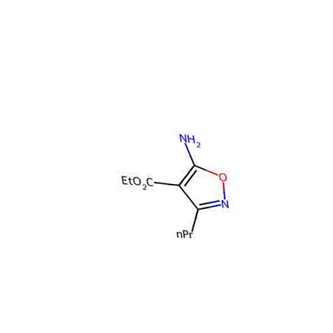 CCCc1noc(N)c1C(=O)OCC